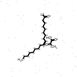 CC(O)C(=O)O.[Li][C](=O)CCCCCCC/C=C\CCCCCCCC